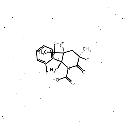 CC(C)(C)[C@@]1(F)C[C@@](C)(F)C(=O)N(C(=O)O)[C@]1(C)c1ccccc1F